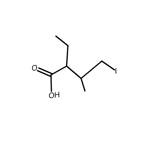 CCC(C(=O)O)C(C)CI